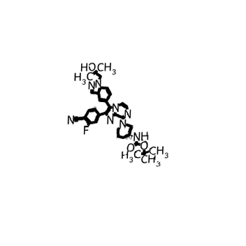 CC(C)(O)Cn1ncc2cc(-c3c(-c4ccc(C#N)c(F)c4)nc4c(N5CCC[C@@H](NC(=O)OC(C)(C)C)C5)nccn34)ccc21